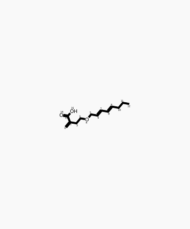 C=C(CCOCC=CC=CCCC)C(=O)O